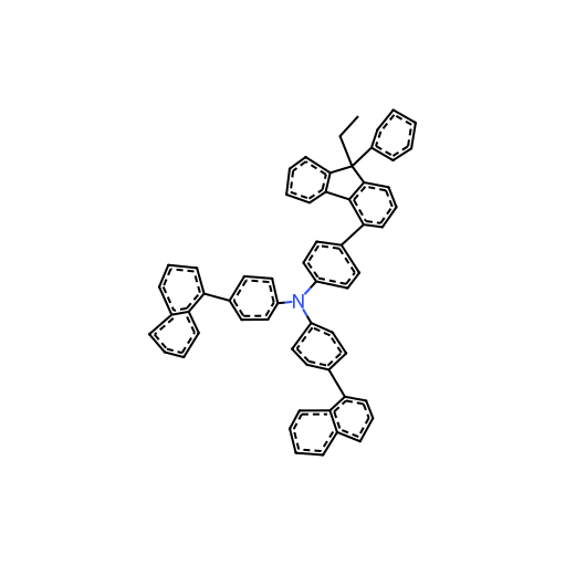 CCC1(c2ccccc2)c2ccccc2-c2c(-c3ccc(N(c4ccc(-c5cccc6ccccc56)cc4)c4ccc(-c5cccc6ccccc56)cc4)cc3)cccc21